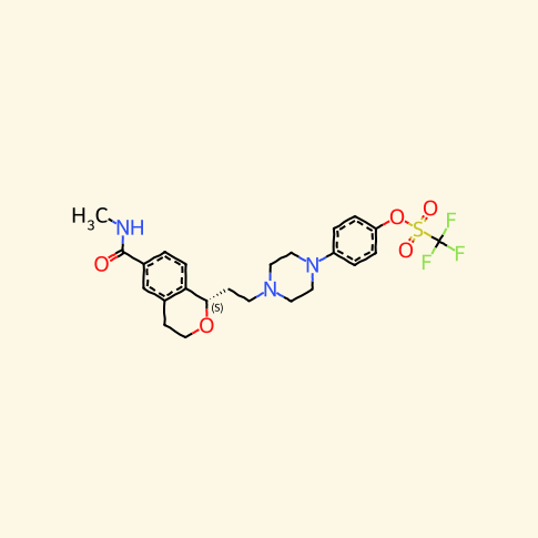 CNC(=O)c1ccc2c(c1)CCO[C@H]2CCN1CCN(c2ccc(OS(=O)(=O)C(F)(F)F)cc2)CC1